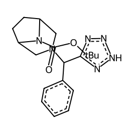 CC(C)(C)OC(=O)N1C2CCC1CN(C(c1ccccc1)c1nn[nH]n1)C2